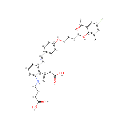 CC(=O)c1cc(F)cc(C)c1OCCCCOc1ccc(/C=C/c2cccc3c2c(CC(=O)O)cn3CCCC(=O)O)cc1